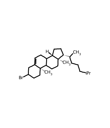 CC(C)CCCC(C)[C@H]1CC[C@H]2C3CC=C4CC(Br)CC[C@]4(C)C3CC[C@]12C